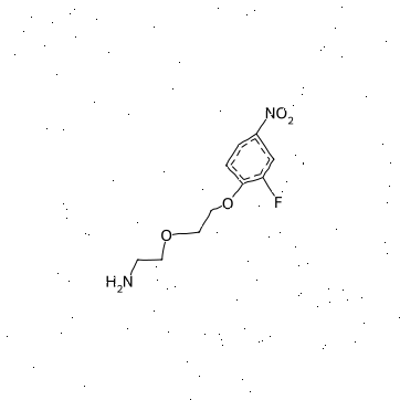 NCCOCCOc1ccc([N+](=O)[O-])cc1F